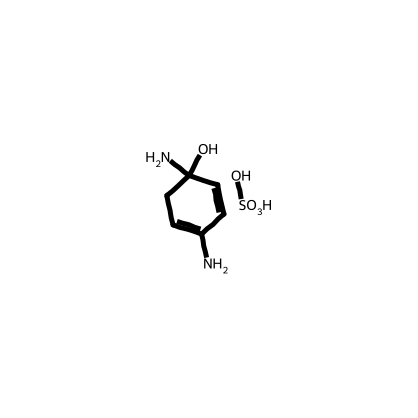 NC1=CCC(N)(O)C=C1.O=S(=O)(O)O